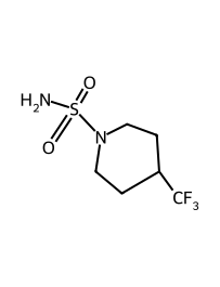 NS(=O)(=O)N1CCC(C(F)(F)F)CC1